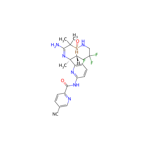 CC1(C)C(N)=N[C@](C)(c2nc(NC(=O)c3ccc(C#N)cn3)ccc2F)[C@H]2CC(F)(F)CN[SH]21=O